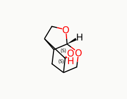 O[C@H]1C2CO[C@H]3OCC1C3C2